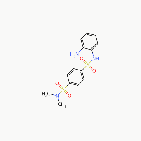 CN(C)S(=O)(=O)c1ccc(S(=O)(=O)Nc2ccccc2N)cc1